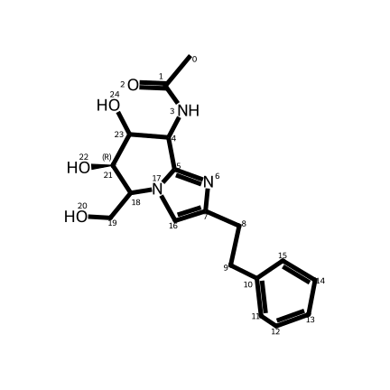 CC(=O)NC1c2nc(CCc3ccccc3)cn2C(CO)[C@@H](O)C1O